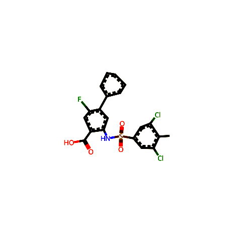 Cc1c(Cl)cc(S(=O)(=O)Nc2cc(-c3ccccc3)c(F)cc2C(=O)O)cc1Cl